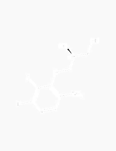 O=[N+]([O-])c1ccc(F)c(F)c1OC[C@@H](O)CO